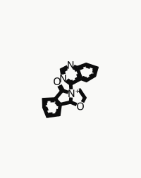 O=C1c2ccccc2C2OCC[N+]12c1ncnc2ccccc12